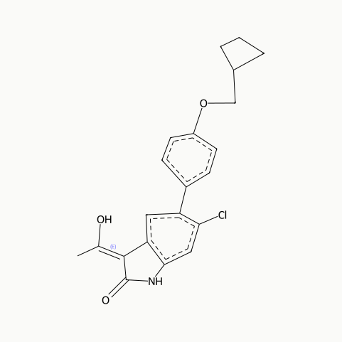 C/C(O)=C1\C(=O)Nc2cc(Cl)c(-c3ccc(OCC4CCC4)cc3)cc21